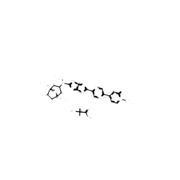 CN(c1nc2sc(-c3cnc(-c4ccn(C)c(=O)c4)cn3)nc2s1)C1C[C@]2(C)CC[C@](C)(C1)N2.O=C(O)C(F)(F)F